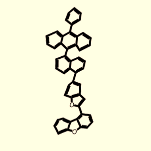 c1ccc(-c2c3ccccc3c(-c3cccc4c(-c5ccc6oc(-c7cccc8oc9ccccc9c78)cc6c5)cccc34)c3ccccc23)cc1